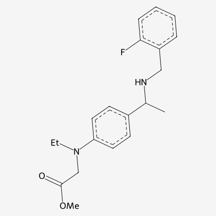 CCN(CC(=O)OC)c1ccc(C(C)NCc2ccccc2F)cc1